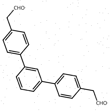 O=[C]Cc1ccc(-c2cccc(-c3ccc(C[C]=O)cc3)c2)cc1